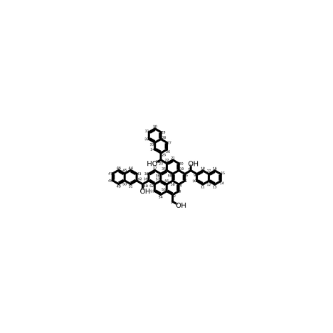 OCc1cc2cc(C(O)c3ccc4ccccc4c3)c3ccc(C(O)c4ccc5ccccc5c4)c4c5ccc(C(O)c6ccc7ccccc7c6)c6ccc1c(c65)c2c34